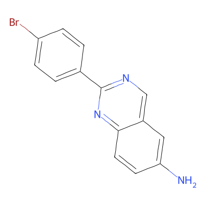 Nc1ccc2nc(-c3ccc(Br)cc3)ncc2c1